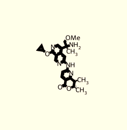 COC[C@](C)(N)c1cnc(OC2CC2)c2cnc(Nc3ccc4c(n3)[C@@H](C)[C@H](C)OC4=O)cc12